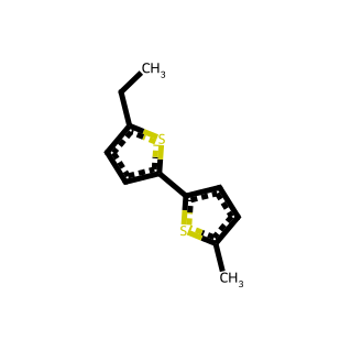 CCc1ccc(-c2ccc(C)s2)s1